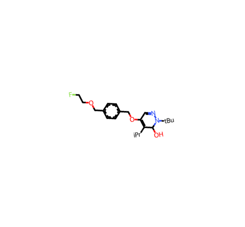 CC(C)C1=C(OCc2ccc(COCCF)cc2)C=NN(C(C)(C)C)C1O